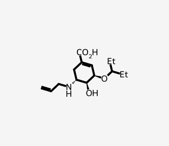 C=CCN[C@@H]1CC(C(=O)O)=C[C@@H](OC(CC)CC)[C@H]1O